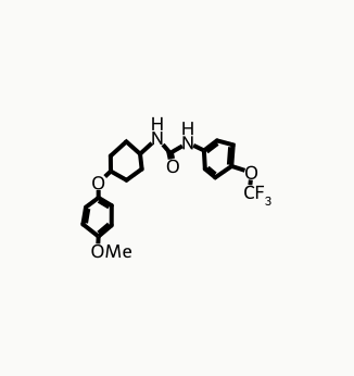 COc1ccc(OC2CCC(NC(=O)Nc3ccc(OC(F)(F)F)cc3)CC2)cc1